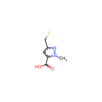 Cn1nc(CF)cc1C(=O)O